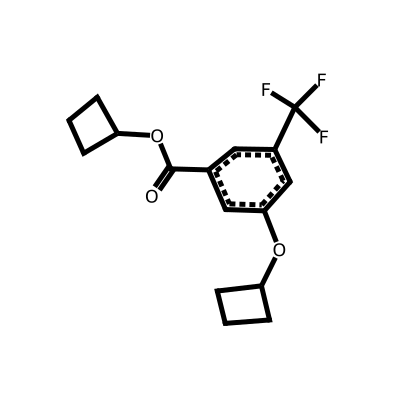 O=C(OC1CCC1)c1cc(OC2CCC2)cc(C(F)(F)F)c1